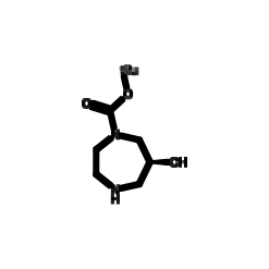 CC(C)(C)OC(=O)N1CCNC[C@H](O)C1